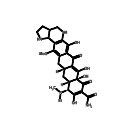 CCN(C)[C@@H]1C(O)=C(C(N)=O)C(=O)[C@@]2(O)C(O)=C3C(=O)c4c(O)c5c(c(OC)c4C[C@H]3C[C@@H]12)C1NCCC1CN5